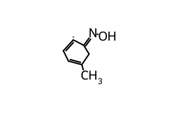 CC1=CC=[C]C(=NO)C1